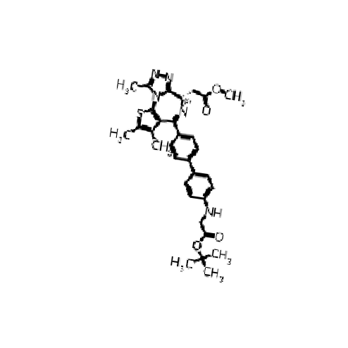 COC(=O)C[C@@H]1N=C(c2ccc(-c3ccc(NCC(=O)OC(C)(C)C)cc3)cc2)c2c(sc(C)c2C)-n2c(C)nnc21